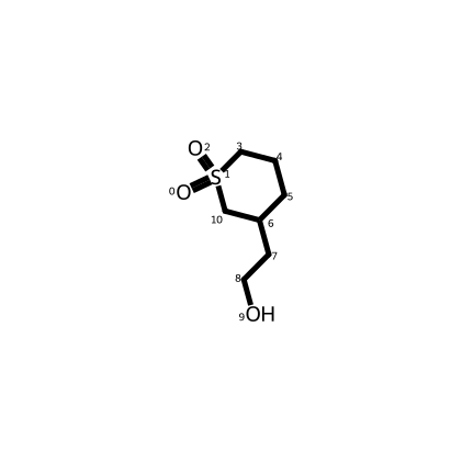 O=S1(=O)CCCC(CCO)C1